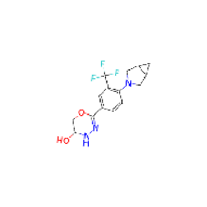 OC1COC(c2ccc(N3CC4CC4C3)c(C(F)(F)F)c2)=NN1